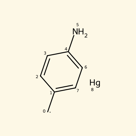 [CH2]c1ccc(N)cc1.[Hg]